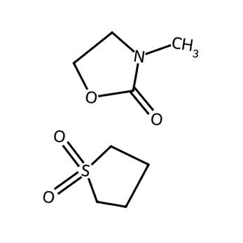 CN1CCOC1=O.O=S1(=O)CCCC1